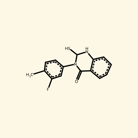 Cc1ccc(N2C(=O)c3ccccc3NC2S)cc1F